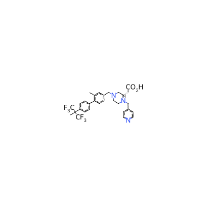 Cc1cc(CN2CCN(Cc3ccncc3)[C@@H](CC(=O)O)C2)ccc1-c1ccc(C(C)(C(F)(F)F)C(F)(F)F)cc1